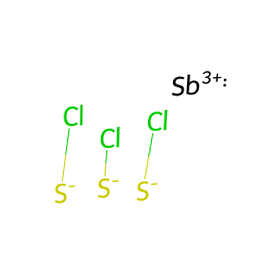 [S-]Cl.[S-]Cl.[S-]Cl.[Sb+3]